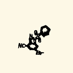 N#Cc1cc(Br)cc2c1cnn2S(=O)(=O)c1ccccc1